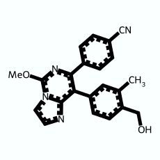 COc1nc(-c2ccc(C#N)cc2)c(-c2ccc(CO)c(C)c2)c2nccn12